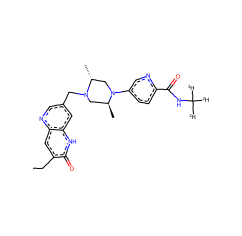 [2H]C([2H])([2H])NC(=O)c1ccc(N2C[C@@H](C)N(Cc3cnc4cc(CC)c(=O)[nH]c4c3)C[C@@H]2C)cn1